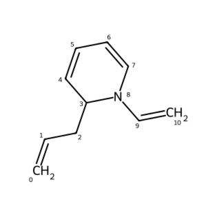 C=CCC1C=CC=CN1C=C